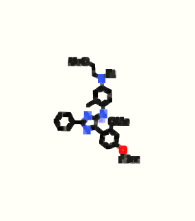 CCCCCCCCCCOc1ccc(C2=NC(c3ccccc3)=N/C2=N\c2ccc(N(CC)CCOC)cc2C)c(OC)c1